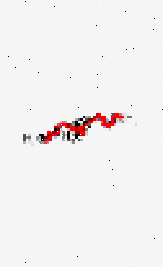 CC/C=C\C/C=C\C/C=C\C/C=C\C/C=C\CCCC(=O)OCc1cnc(C)c(OC(=O)CCC/C=C\C/C=C\C/C=C\C/C=C\C/C=C\CC)c1C=O